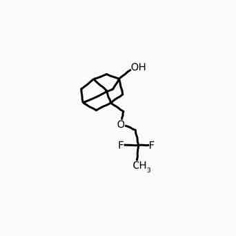 CC(F)(F)COCC12CC3CC(CC(O)(C3)C1)C2